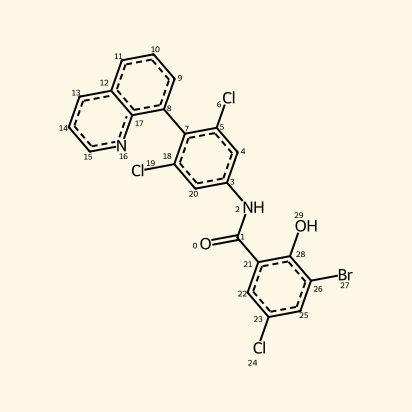 O=C(Nc1cc(Cl)c(-c2cccc3cccnc23)c(Cl)c1)c1cc(Cl)cc(Br)c1O